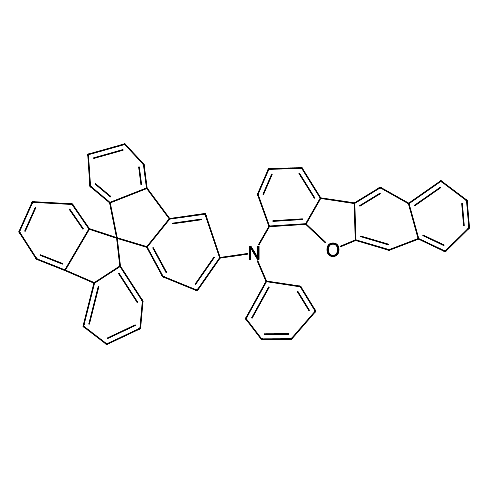 c1ccc(N(c2ccc3c(c2)-c2ccccc2C32c3ccccc3-c3ccccc32)c2cccc3c2oc2cc4ccccc4cc23)cc1